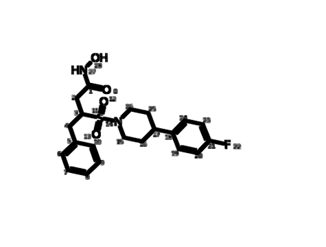 O=C(CC(Cc1ccccc1)S(=O)(=O)N1CCC(c2ccc(F)cc2)CC1)NO